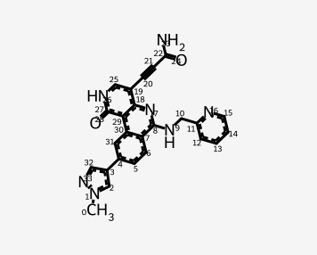 Cn1cc(-c2ccc3c(NCc4ccccn4)nc4c(C#CC(N)=O)c[nH]c(=O)c4c3c2)cn1